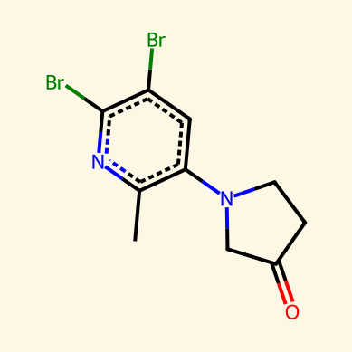 Cc1nc(Br)c(Br)cc1N1CCC(=O)C1